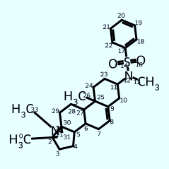 CC1C2CCC3C4CC=C5CC(N(C)S(=O)(=O)c6ccccc6)CCC5(C)C4CCC32CN1C